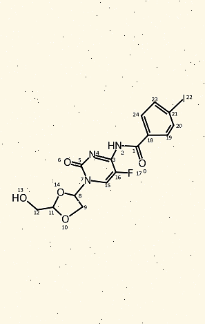 O=C(Nc1nc(=O)n(C2COC(CO)O2)cc1F)c1ccc(I)cc1